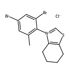 Cc1cc(Br)cc(Br)c1-[n+]1csc2c1CCCC2.[Cl-]